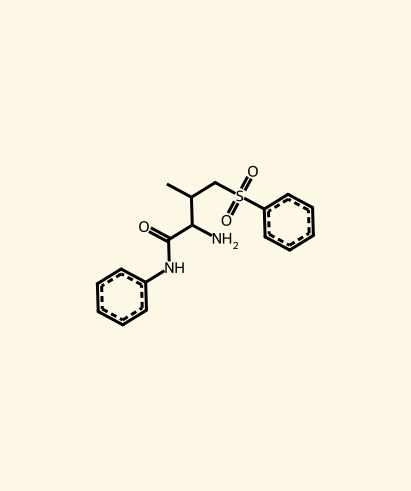 CC(CS(=O)(=O)c1ccccc1)C(N)C(=O)Nc1ccccc1